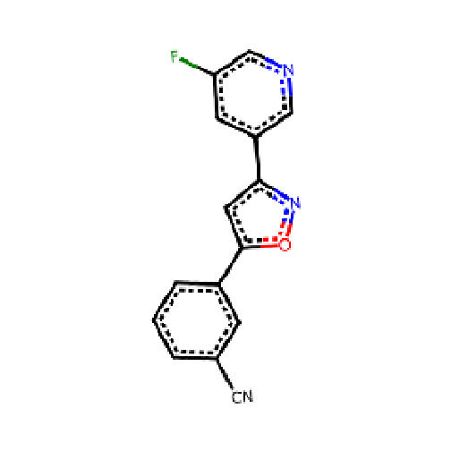 N#Cc1cccc(-c2cc(-c3cncc(F)c3)no2)c1